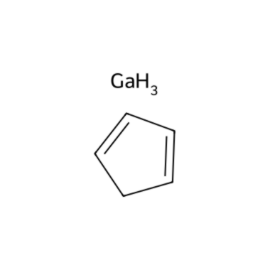 C1=CCC=C1.[GaH3]